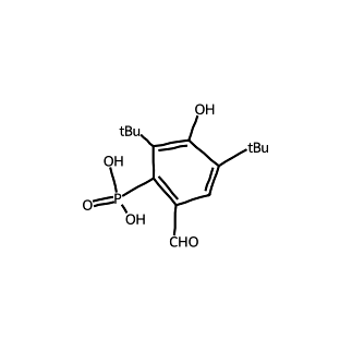 CC(C)(C)c1cc(C=O)c(P(=O)(O)O)c(C(C)(C)C)c1O